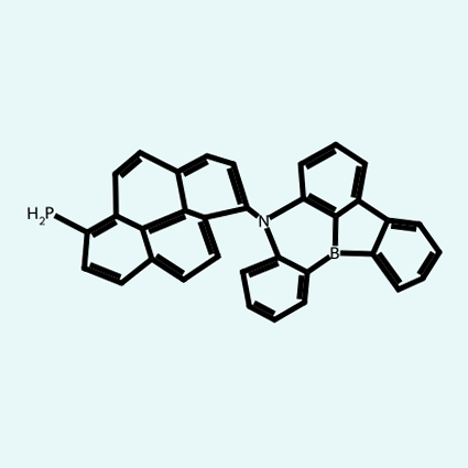 Pc1ccc2ccc3c(N4c5ccccc5B5c6ccccc6-c6cccc4c65)ccc4ccc1c2c43